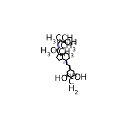 C=C1[C@H](O)CC(=C/C=C2\CCC[C@@]3(C)C2CCC3[C@@H](C)/C=C/[C@H](C)C(C)(C)O)C[C@H]1O